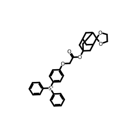 O=C(COc1ccc([S+](c2ccccc2)c2ccccc2)cc1)OC12CC3CC(C1)C1(OCCO1)C(C3)C2